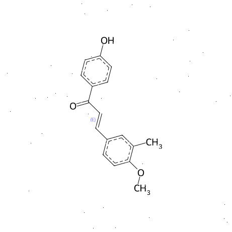 COc1ccc(/C=C/C(=O)c2ccc(O)cc2)cc1C